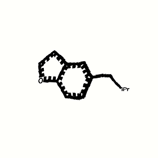 [CH2]C(C)Cc1ccc2occc2c1